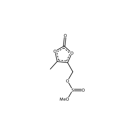 COS(=O)OCc1oc(=O)oc1C